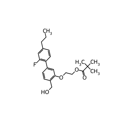 CCCc1ccc(-c2ccc(CO)c(OCCOC(=O)C(C)(C)C)c2)c(F)c1